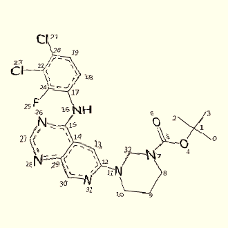 CC(C)(C)OC(=O)N1CCCN(c2cc3c(Nc4ccc(Cl)c(Cl)c4F)ncnc3cn2)C1